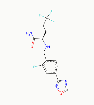 NC(=O)[C@@H](CCC(F)(F)F)NCc1ccc(-c2ncon2)cc1F